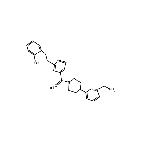 Cl.NCc1cccc(C2CCN(C(=O)c3cccc(CCc4ccccc4O)c3)CC2)c1